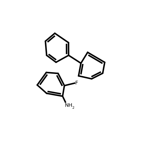 Nc1ccccc1F.c1ccc(-c2ccccc2)cc1